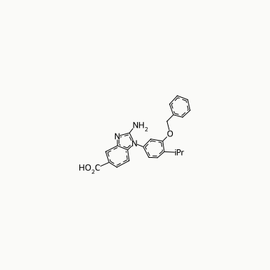 CC(C)c1ccc(-n2c(N)nc3cc(C(=O)O)ccc32)cc1OCc1ccccc1